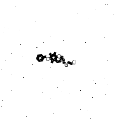 Cc1c(C)c2c(c(C)c1OCc1ccccc1)CCC(C)(CCN(C)CCCl)O2